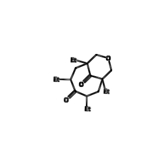 CCC1CC2(CC)COCC(CC)(CC(CC)C1=O)C2=O